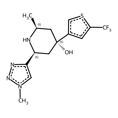 C[C@H]1C[C@@](O)(c2csc(C(F)(F)F)c2)C[C@@H](c2cn(C)nn2)N1